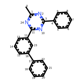 Cc1nc(-c2ccccc2)nc(-c2cccc(-c3ccccc3)c2)n1